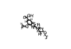 CCCO[C@@H]1C[C@@H]2C[C@H]1CN2c1nc2c(OC3CC3)cc(C(=O)O)cc2s1